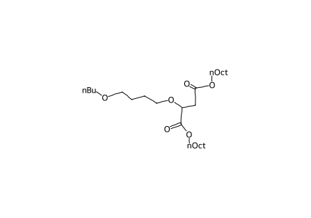 CCCCCCCCOC(=O)CC(OCCCCOCCCC)C(=O)OCCCCCCCC